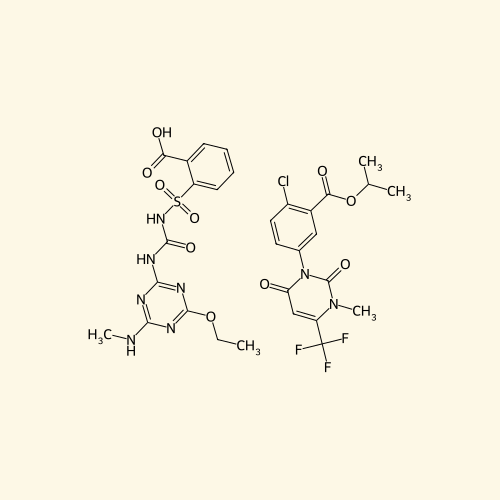 CC(C)OC(=O)c1cc(-n2c(=O)cc(C(F)(F)F)n(C)c2=O)ccc1Cl.CCOc1nc(NC)nc(NC(=O)NS(=O)(=O)c2ccccc2C(=O)O)n1